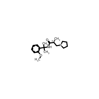 COc1ccccc1C(C)(C)NC(=O)[C@@H](C)CN1CCCC1